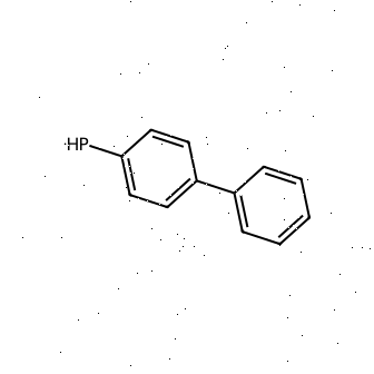 [PH]c1ccc(-c2ccccc2)cc1